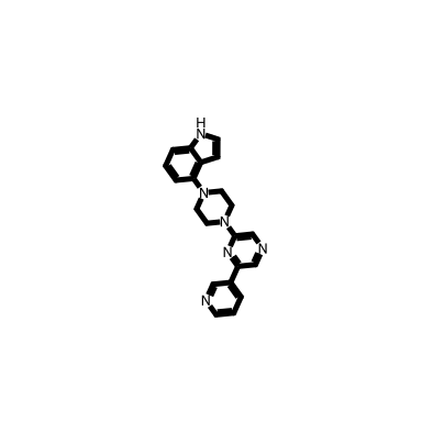 c1cncc(-c2cncc(N3CCN(c4cccc5[nH]ccc45)CC3)n2)c1